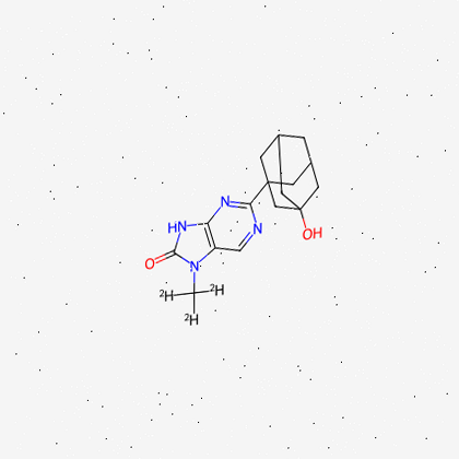 [2H]C([2H])([2H])n1c(=O)[nH]c2nc(C34CC5CC(CC(O)(C5)C3)C4)ncc21